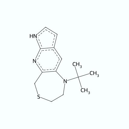 CC(C)(C)N1CCSCc2nc3[nH]ccc3cc21